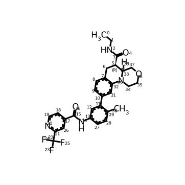 CCNC(=O)[C@@H]1Cc2ccc(-c3cc(NC(=O)c4ccnc(C(F)(F)F)c4)ccc3C)cc2N2CCOC[C@@H]12